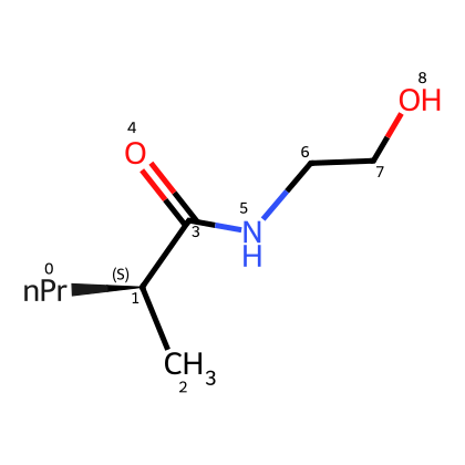 CCC[C@H](C)C(=O)NCCO